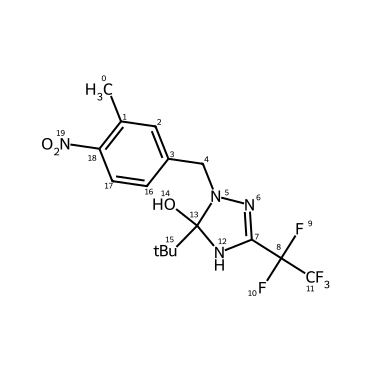 Cc1cc(CN2N=C(C(F)(F)C(F)(F)F)NC2(O)C(C)(C)C)ccc1[N+](=O)[O-]